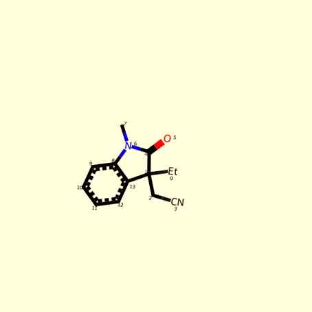 CCC1(CC#N)C(=O)N(C)c2ccccc21